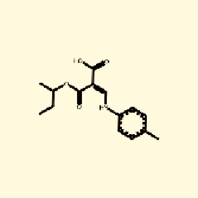 CCC(C)OC(=O)C(=CNc1ccc(C)cc1)C(=O)O